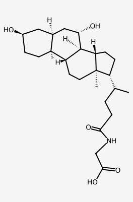 CC(CCC(=O)NCC(=O)O)[C@H]1CC[C@H]2[C@@H]3[C@@H](O)C[C@@H]4C[C@H](O)CC[C@]4(C)[C@H]3CC[C@]12C